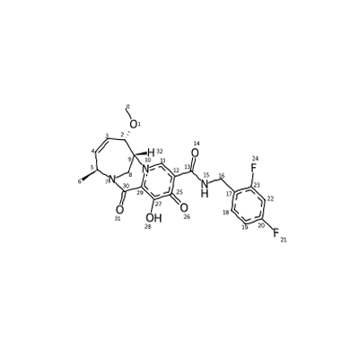 CO[C@H]1C=C[C@H](C)N2C[C@H]1n1cc(C(=O)NCc3ccc(F)cc3F)c(=O)c(O)c1C2=O